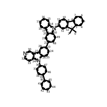 CC1(C)c2ccccc2-c2ccc(-n3c4ccccc4c4cc(-c5ccc6c(c5)c5cnccc5n6-c5ccc(-c6ccccc6)cc5)ccc43)cc21